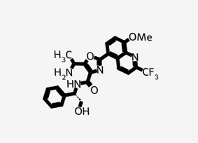 COc1ccc(-c2nc(C(=O)N[C@H](CO)c3ccccc3)c(C(C)N)o2)c2ccc(C(F)(F)F)nc12